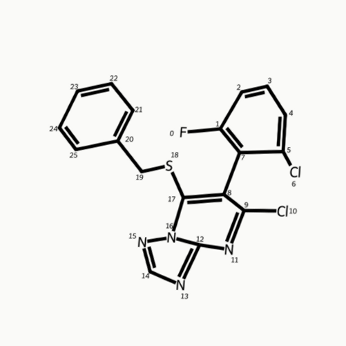 Fc1cccc(Cl)c1-c1c(Cl)nc2ncnn2c1SCc1ccccc1